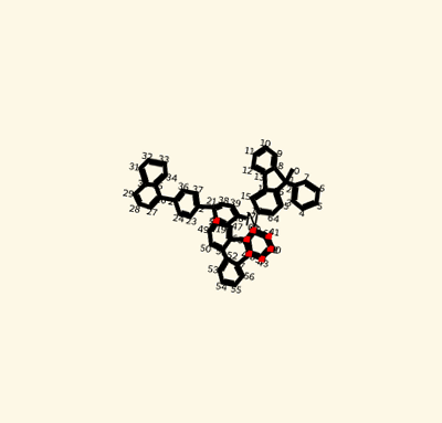 CC1(c2ccccc2)c2ccccc2-c2cc(N(c3ccc(-c4ccc(-c5cccc6ccccc56)cc4)cc3)c3ccccc3-c3ccccc3-c3ccccc3-c3ccccc3)ccc21